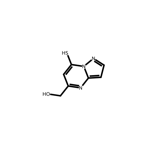 OCc1cc(S)n2nccc2n1